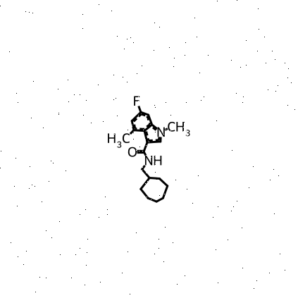 Cc1cc(F)cc2c1c(C(=O)NCC1CCCCCC1)cn2C